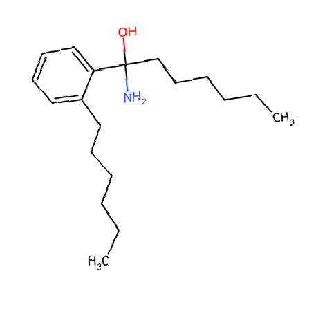 CCCCCCc1ccccc1C(N)(O)CCCCCC